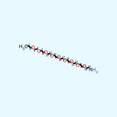 CCCOCCOCCOCCOCCOCCOCCOCCOCCOCCN